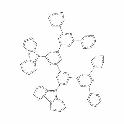 c1ccc(-c2cc(-c3cc(-c4cc(-c5cc(-c6ccccc6)nc(-c6ccccc6)c5)cc(-n5c6ccccc6c6ccccc65)c4)cc(-n4c5ccccc5c5ccccc54)c3)cc(-c3ccccc3)n2)cc1